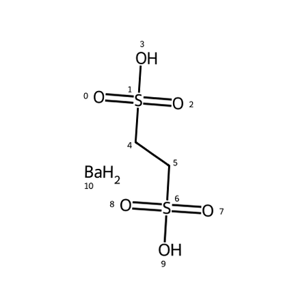 O=S(=O)(O)CCS(=O)(=O)O.[BaH2]